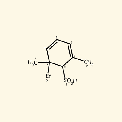 CCC1(C)C=CC=C(C)C1S(=O)(=O)O